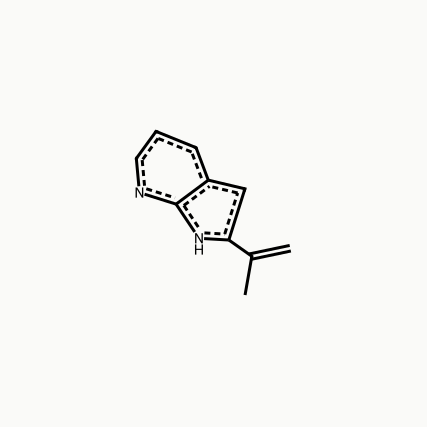 C=C(C)c1cc2cccnc2[nH]1